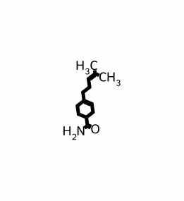 CC(C)=CCCC1=CCC(C(N)=O)CC1